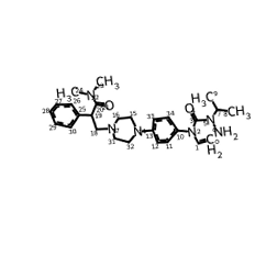 C=CN(C(=O)N(N)C(C)C)c1ccc(N2CCN(CC(C(=O)N(C)C)c3ccccc3)CC2)cc1